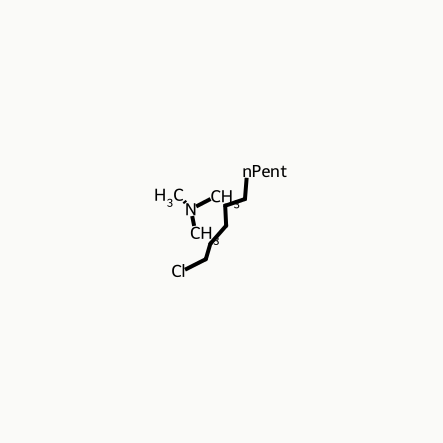 CCCCCCCCCCCl.CN(C)C